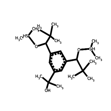 C[SiH](C)OC(c1cc(C(O[SiH](C)C)C(C)(C)C)cc(C(C)(C)O)c1)C(C)(C)C